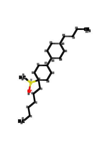 CCCCCCC1([S+](C)[O-])CCC(C2CCC(CCCC)CC2)CC1